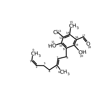 C/C=C\CC/C(C)=C/Cc1c(O)c(Cl)c(C)c(C=O)c1O